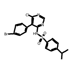 CC(C)c1ccc(S(=O)(=O)Nc2ncnc(Cl)c2-c2ccc(Br)cc2)cc1